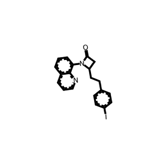 O=C1CC(CCc2ccc(I)cc2)N1c1cccc2cccnc12